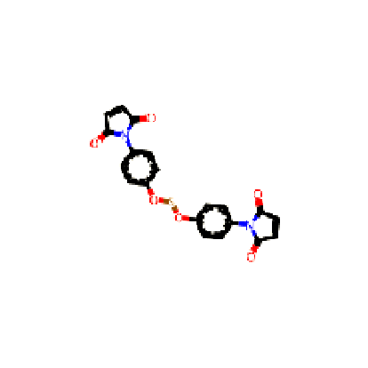 O=C1C=CC(=O)N1c1ccc(OSOc2ccc(N3C(=O)C=CC3=O)cc2)cc1